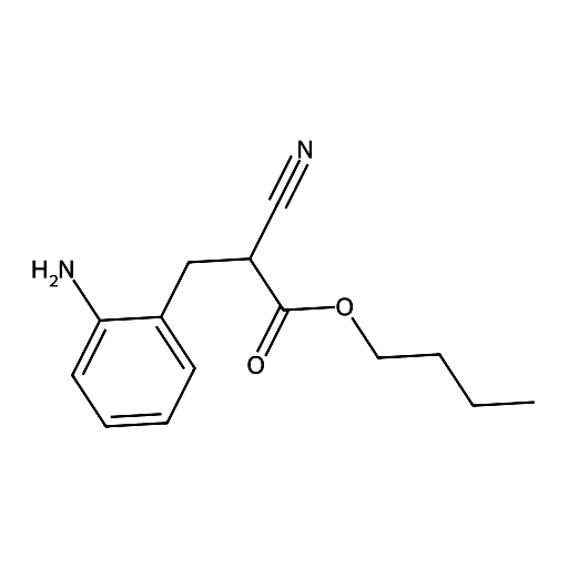 CCCCOC(=O)C(C#N)Cc1ccccc1N